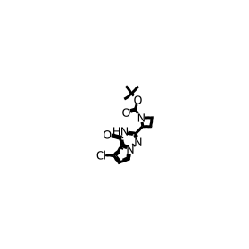 CC(C)(C)OC(=O)N1CCC1c1nn2ccc(Cl)c2c(=O)[nH]1